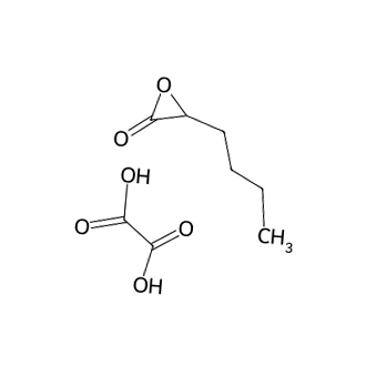 CCCCC1OC1=O.O=C(O)C(=O)O